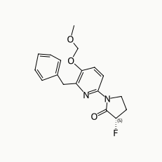 COCOc1ccc(N2CC[C@H](F)C2=O)nc1Cc1ccccc1